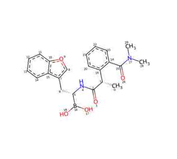 C[C@H](C(=O)N[C@@H](Cc1coc2ccccc12)B(O)O)c1ccccc1C(=O)N(C)C